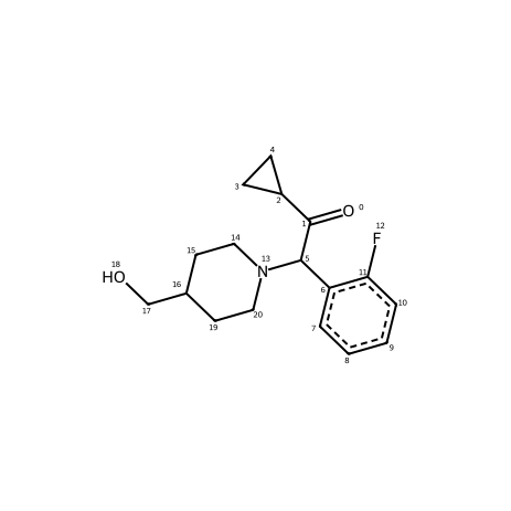 O=C(C1CC1)C(c1ccccc1F)N1CCC(CO)CC1